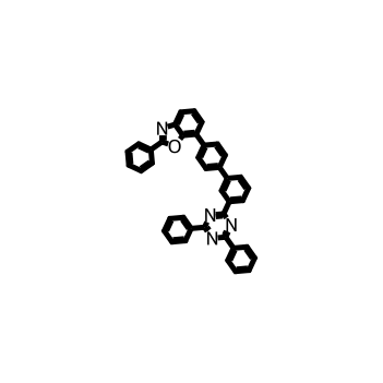 c1ccc(-c2nc(-c3ccccc3)nc(-c3cccc(-c4ccc(-c5cccc6nc(-c7ccccc7)oc56)cc4)c3)n2)cc1